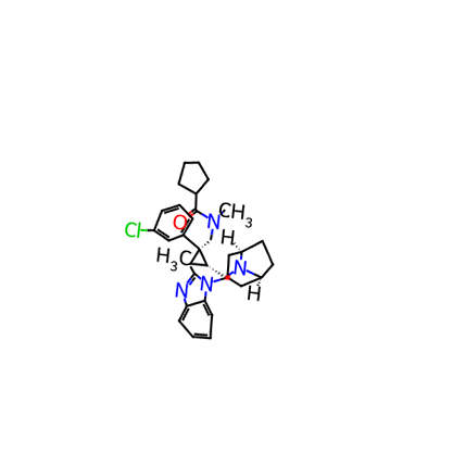 Cc1nc2ccccc2n1C1C[C@H]2CC[C@@H](C1)N2C[C@@H]1C[C@@]1(CN(C)C(=O)C1CCCC1)c1cccc(Cl)c1